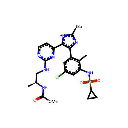 COC(=O)N[C@@H](C)CNc1nccc(-c2[nH]c(C(C)(C)C)nc2-c2cc(Cl)cc(NS(=O)(=O)C3CC3)c2C)n1